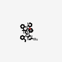 C=Cc1ccccc1N1c2ncc(C(C)(C)C)nc2N(c2ccccc2)C1CC1(CC)C2N(c3ccccc3C1(C)CC)c1ncccc1N2C(C)C